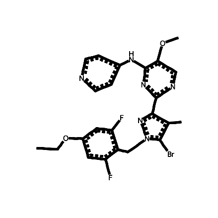 CCOc1cc(F)c(Cn2nc(-c3ncc(OC)c(Nc4ccncc4)n3)c(C)c2Br)c(F)c1